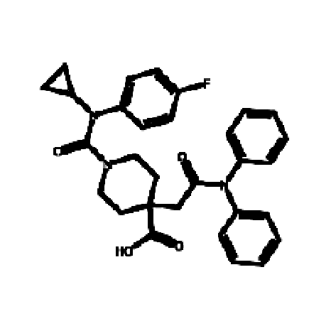 O=C(CC1(C(=O)O)CCN(C(=O)N(c2ccc(F)cc2)C2CC2)CC1)N(c1ccccc1)c1ccccc1